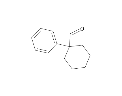 O=CC1(c2ccccc2)CCCCC1